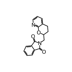 O=C1c2ccccc2C(=O)N1CC1CCc2cccnc2O1